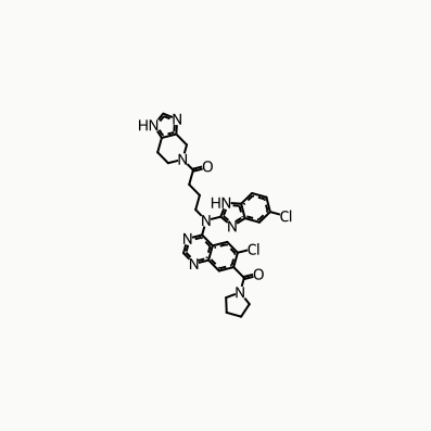 O=C(CCCN(c1nc2cc(Cl)ccc2[nH]1)c1ncnc2cc(C(=O)N3CCCC3)c(Cl)cc12)N1CCc2[nH]cnc2C1